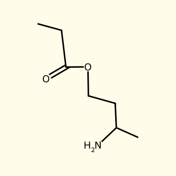 CCC(=O)OCCC(C)N